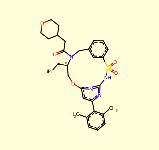 Cc1cccc(C)c1-c1cc2nc(n1)NS(=O)(=O)c1cccc(c1)CN(C(=O)CC1CCOCC1)[C@H](CC(C)C)CO2